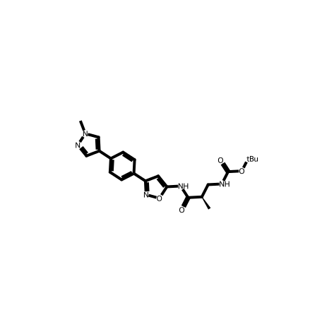 C[C@H](CNC(=O)OC(C)(C)C)C(=O)Nc1cc(-c2ccc(-c3cnn(C)c3)cc2)no1